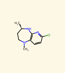 C[C@@H]1CCN(C)c2ccc(Cl)nc2N1